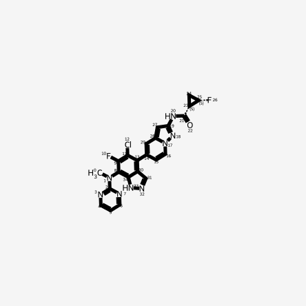 CN(c1ncccn1)c1c(F)c(Cl)c(-c2ccn3nc(NC(=O)[C@@H]4C[C@@H]4F)cc3c2)c2cn[nH]c12